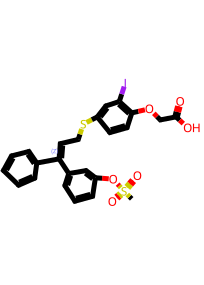 CS(=O)(=O)Oc1cccc(/C(=C\CSc2ccc(OCC(=O)O)c(I)c2)c2ccccc2)c1